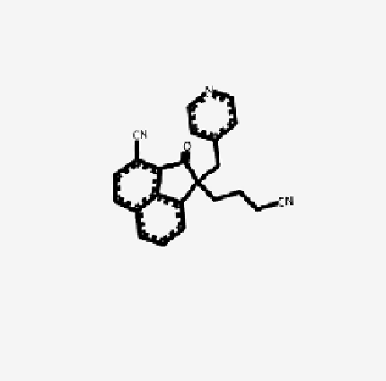 N#CCCCC1(Cc2ccncc2)C(=O)c2c(C#N)ccc3cccc1c23